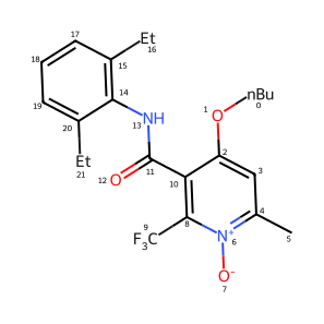 CCCCOc1cc(C)[n+]([O-])c(C(F)(F)F)c1C(=O)Nc1c(CC)cccc1CC